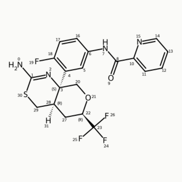 NC1=N[C@@]2(c3cc(NC(=O)c4ccccn4)ccc3F)CO[C@@H](C(F)(F)F)C[C@H]2CS1